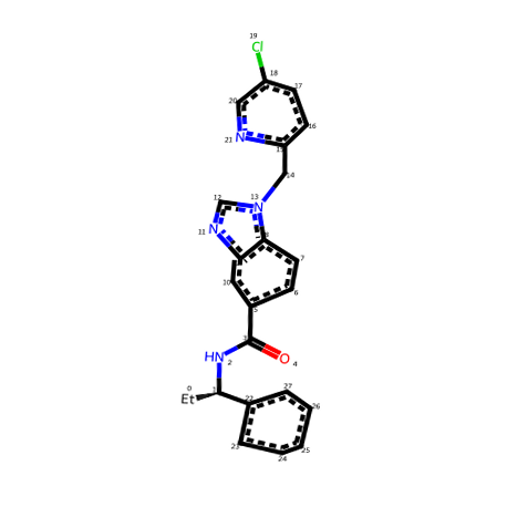 CC[C@@H](NC(=O)c1ccc2c(c1)ncn2Cc1ccc(Cl)cn1)c1ccccc1